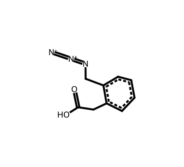 [N-]=[N+]=NCc1ccccc1CC(=O)O